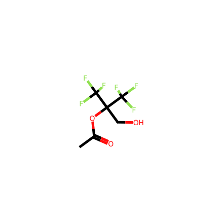 CC(=O)OC(CO)(C(F)(F)F)C(F)(F)F